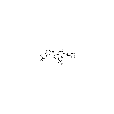 COC(=O)Cc1cccc(Oc2ccc(C(F)(F)F)cc2CN(C)C(=O)OCc2ccccc2)c1